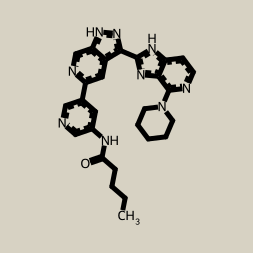 CCCCC(=O)Nc1cncc(-c2cc3c(-c4nc5c(N6CCCCC6)nccc5[nH]4)n[nH]c3cn2)c1